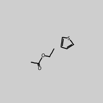 CCOC(C)=O.c1ccsc1